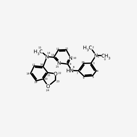 CN(C)c1cccc(Nc2nccc(N(C)c3cccc4c3OCO4)n2)c1